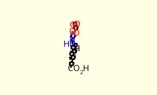 CC1(C)C(c2ccc(C(=O)O)cc2)=CC[C@@]2(C)C1CC[C@@]1(C)C3CC[C@@]4(NCCN5CCN(S(=O)(=O)c6ccc7c(c6)OCCO7)CC5)CCCC4[C@H]3CCC12